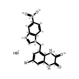 Br.O=c1[nH]c2cc(Br)cc(Cn3cnc4cc([N+](=O)[O-])ccc43)c2[nH]c1=O